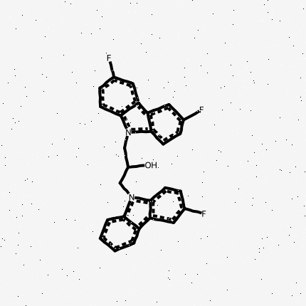 OC(Cn1c2ccccc2c2cc(F)ccc21)Cn1c2ccc(F)cc2c2cc(F)ccc21